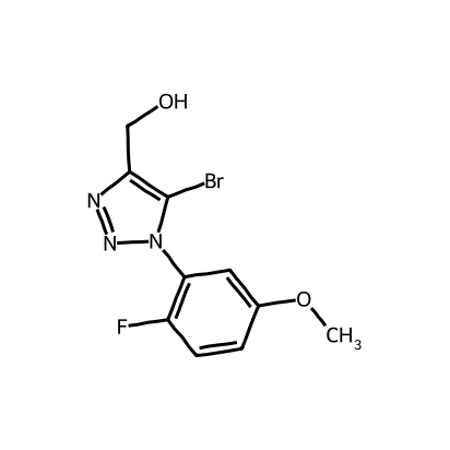 COc1ccc(F)c(-n2nnc(CO)c2Br)c1